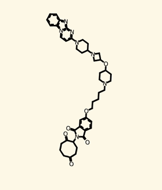 O=C1CCCC(=O)C(N2C(=O)c3ccc(OCCCCCN4CCC(OC5CN(C6CCN(c7ccn8c(n7)nc7ccccc78)CC6)C5)CC4)cc3C2=O)CC1